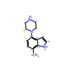 Cc1ccc(N2CCNCC2)c2cc[nH]c12